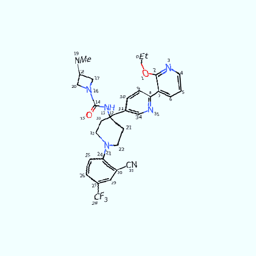 CCOc1ncccc1-c1ccc(C2(NC(=O)N3CC(NC)C3)CCN(c3ccc(C(F)(F)F)cc3C#N)CC2)cn1